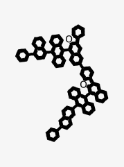 c1ccc(-c2ccc3cc(-c4c5ccccc5c(-c5c6ccccc6cc6c5oc5cc(-c7ccc8c(-c9c%10ccccc%10c(-c%10ccc(-c%11ccccc%11)c%11ccccc%10%11)c%10ccccc9%10)c9oc%10ccccc%10c9cc8c7)ccc56)c5ccccc45)ccc3c2)cc1